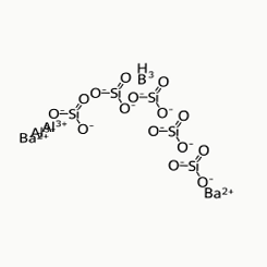 B.O=[Si]([O-])[O-].O=[Si]([O-])[O-].O=[Si]([O-])[O-].O=[Si]([O-])[O-].O=[Si]([O-])[O-].[Al+3].[Al+3].[Ba+2].[Ba+2]